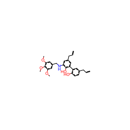 C=CCc1ccc(O)c(-c2cc(CC=C)cc(NCc3cc(OC)c(OC)c(OC)c3)c2O)c1